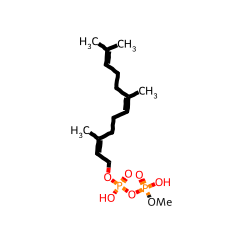 COP(=O)(O)OP(=O)(O)OCC=C(C)CCC=C(C)CCC=C(C)C